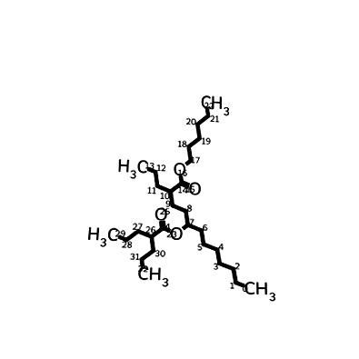 CCCCCCCC(CCC(CCC)C(=O)OCCCCCC)OC(=O)C(CCC)CCC